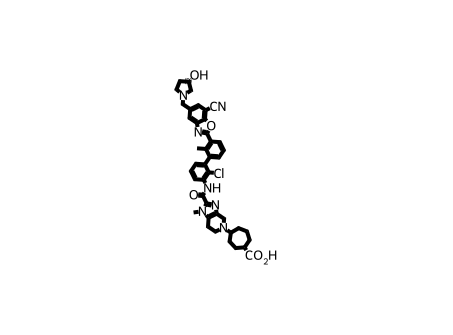 Cc1c(-c2nc3cc(CN4CC[C@@H](O)C4)cc(C#N)c3o2)cccc1-c1cccc(NC(=O)c2nc3c(n2C)CCN(C2CCCC(C(=O)O)CC2)C3)c1Cl